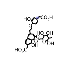 CC1C(O)OC(COc2cc(CCOC3CC/C(=C\C(=O)O)C=C3O)cc3ccc(CC(=O)O)c(O)c3c2=O)C(O)C1O